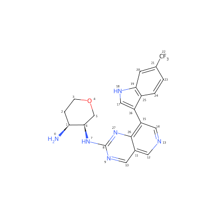 N[C@H]1CCOC[C@H]1Nc1ncc2cncc(-c3c[nH]c4cc(C(F)(F)F)ccc34)c2n1